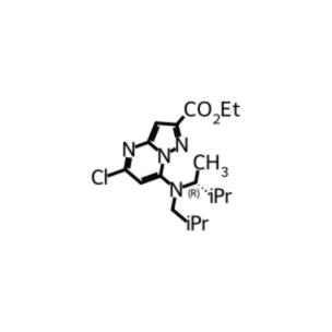 CCOC(=O)c1cc2nc(Cl)cc(N(CC(C)C)[C@H](C)C(C)C)n2n1